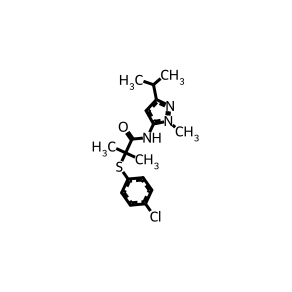 CC(C)c1cc(NC(=O)C(C)(C)Sc2ccc(Cl)cc2)n(C)n1